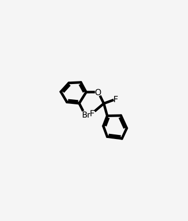 FC(F)(Oc1ccccc1Br)c1ccccc1